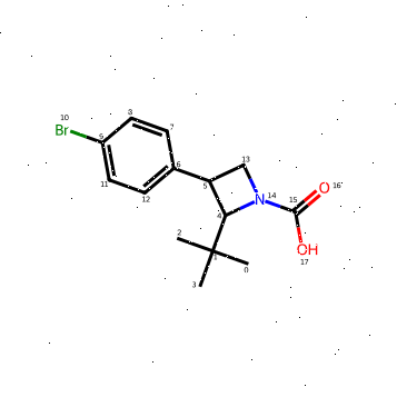 CC(C)(C)C1C(c2ccc(Br)cc2)CN1C(=O)O